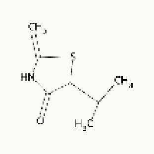 C=C1NC(=O)C(C(C)C)S1